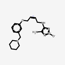 Nc1n[s+]([O-])nc1NC/C=C\COc1cccc(CN2CCCCC2)c1